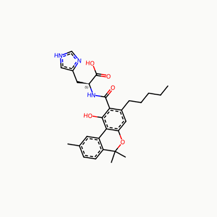 CCCCCc1cc2c(c(O)c1C(=O)N[C@@H](Cc1c[nH]cn1)C(=O)O)-c1cc(C)ccc1C(C)(C)O2